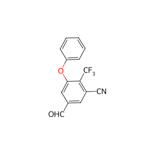 N#Cc1cc(C=O)cc(Oc2ccccc2)c1C(F)(F)F